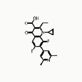 CCc1c(C(=O)O)c(=O)c2cc(F)c(-c3cc(C)nc(C)c3)c(F)c2n1C1CC1